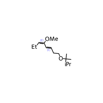 CC/C=C(\C=C\CCOC(C)(C)C(C)C)OC